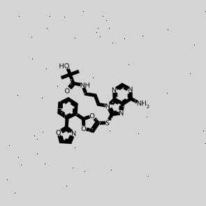 CC(C)(O)C(=O)NCCCn1c(SC2=COC(c3ccccc3-c3ncco3)O2)nc2c(N)ncnc21